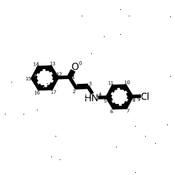 O=C(C=CNc1ccc(Cl)cc1)c1ccccc1